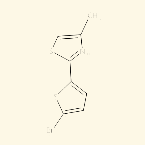 Cc1csc(-c2ccc(Br)s2)n1